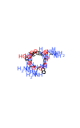 CC(=O)N[C@H]1CCC(=O)CCNC[C@@H](C(=O)N[C@@H](CCCNC(=N)N)C(N)=O)NC(=O)CNC(=O)[C@H](Cc2ccc3ccccc3c2)NC(=O)[C@@H](CCCNC(=N)N)NC(=O)[C@H](CCCNC(=N)N)NC(=O)[C@H](Cc2ccc(O)cc2)NC1=O